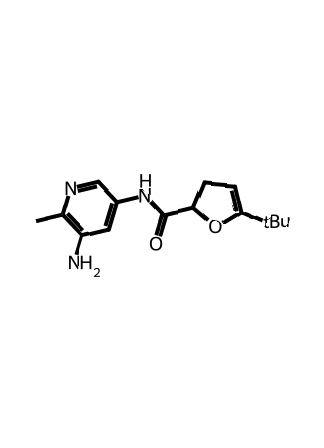 Cc1ncc(NC(=O)C2CC=C(C(C)(C)C)O2)cc1N